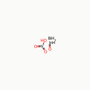 [BiH3].[O]=[InH].[O]=[V](=[O])[OH]